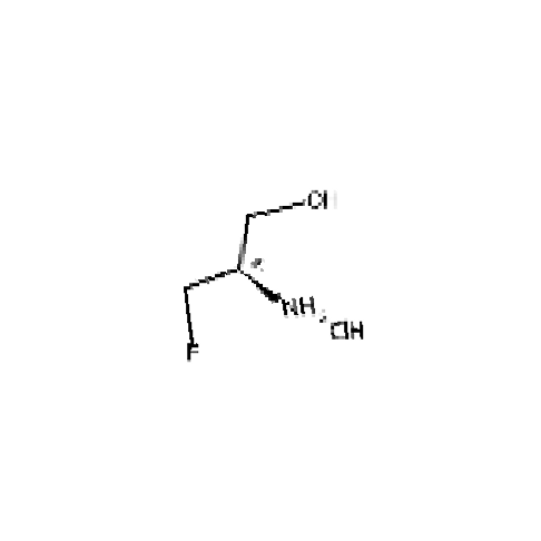 Cl.N[C@H](CO)CF